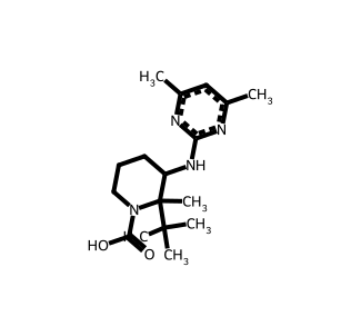 Cc1cc(C)nc(NC2CCCN(C(=O)O)C2(C)C(C)(C)C)n1